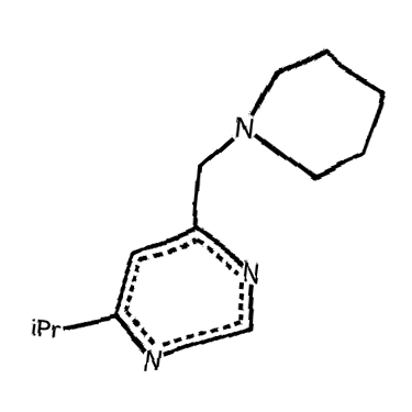 CC(C)c1cc(CN2CCCCC2)ncn1